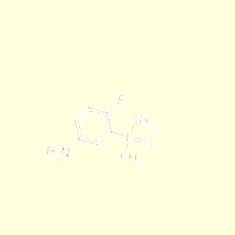 CP(C)(=O)c1cc(N)ccc1F